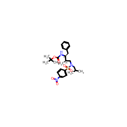 CC(C)CN(C[C@@H](C)[C@H](Cc1ccccc1)NC(=O)OC(C)(C)C)S(=O)(=O)c1ccc([N+](=O)[O-])cc1